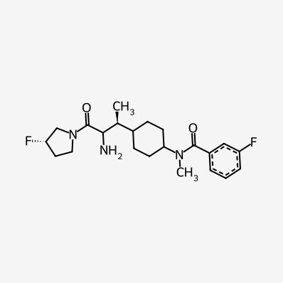 C[C@@H](C1CCC(N(C)C(=O)c2cccc(F)c2)CC1)C(N)C(=O)N1CC[C@H](F)C1